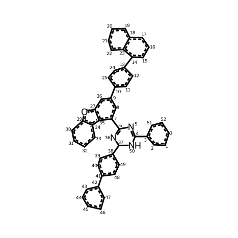 c1ccc(C2=NC(c3cc(-c4ccc(-c5cccc6ccccc56)cc4)cc4oc5ccccc5c34)=NC(c3ccc(-c4ccccc4)cc3)N2)cc1